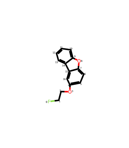 FCCOc1ccc2oc3ccccc3c2c1